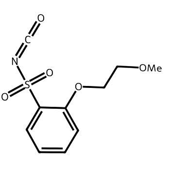 COCCOc1ccccc1S(=O)(=O)N=C=O